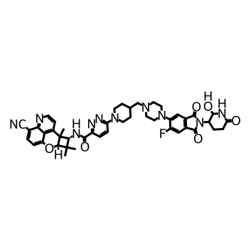 CC1(C)[C@H](NC(=O)c2ccc(N3CCC(CN4CCN(c5cc6c(cc5F)C(=O)N(C5CCC(=O)NC5O)C6=O)CC4)CC3)nn2)C2(C)c3ccnc4c(C#N)ccc(c34)O[C@@H]12